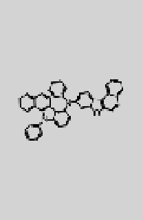 c1ccc(N(c2ccc3c(c2)oc2ccc4ccccc4c23)c2cccc3c2c2ccc4ccccc4c2n3-c2ccccc2)cc1